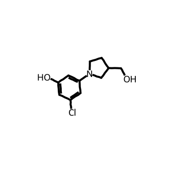 OCC1CCN(c2cc(O)cc(Cl)c2)C1